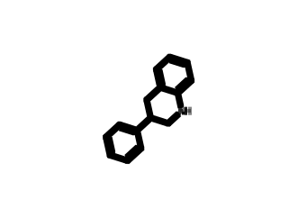 c1ccc(C2CNc3ccccc3C2)cc1